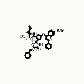 C=CC1CC1(NC(=O)C1CC(Oc2cc(-c3ccccc3)nc3cc(OC)ccc23)CC1C(=O)NC(C(=O)NCC1CCCCC1)C(C)C)C(=O)O